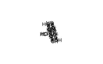 Cl.Cl.ON=CC1=CCN(CON2C=CC(C=NO)=CC2)C=C1.ON=CC1=CCN(CON2C=CC(C=NO)=CC2)C=C1